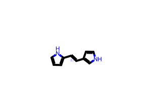 C(=C\c1ccc[nH]1)/c1cc[nH]c1